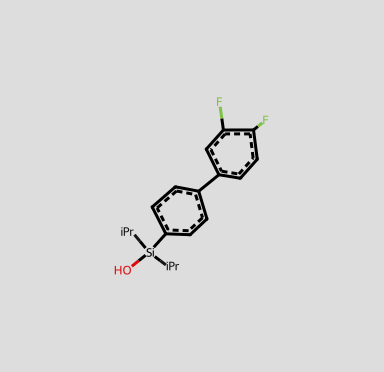 CC(C)[Si](O)(c1ccc(-c2ccc(F)c(F)c2)cc1)C(C)C